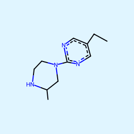 CCc1cnc(N2CCNC(C)C2)nc1